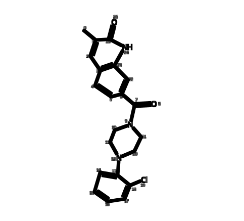 Cc1cc2ccc(C(=O)N3CCN(c4ccccc4Cl)CC3)cc2[nH]c1=O